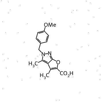 COc1ccc(Cn2nc3oc(C(=O)O)c(C)c3c2C)cc1